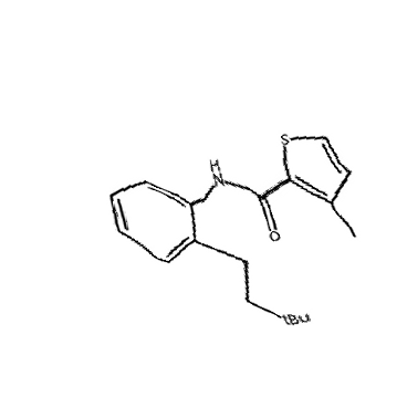 Cc1ccsc1C(=O)Nc1ccccc1CCC(C)(C)C